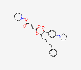 O=C(/C=C/C(=O)ON1CCCCC1)OC(CCCCc1ccccc1)C(=O)c1ccc(N2CCCC2)cc1